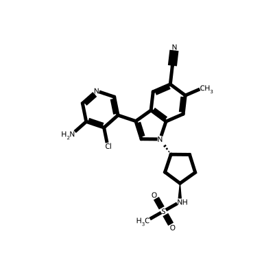 Cc1cc2c(cc1C#N)c(-c1cncc(N)c1Cl)cn2[C@@H]1CC[C@@H](NS(C)(=O)=O)C1